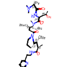 CC[C@H](C)[C@@H]([C@@H](CC(=O)N1CCC[C@H]1[C@H](OC)[C@@H](C)C(=O)NCCc1ccccn1)OC)N(C)C(=O)[C@@H](NC(=O)[C@H](C(C)C)N(C)C)[C@@H](C)O